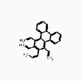 C=Cc1c(/C=C\C)c(C=C)c2c3ccccc3c3ccccc3c2c1C=C